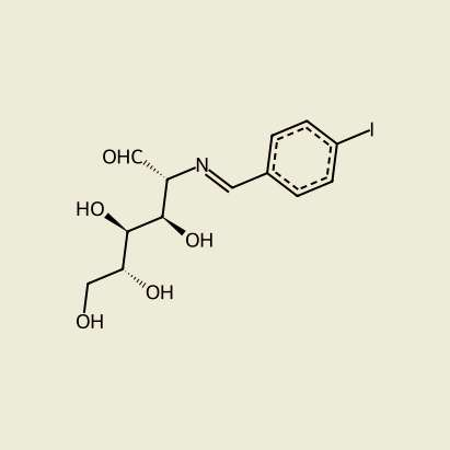 O=C[C@H](N=Cc1ccc(I)cc1)[C@@H](O)[C@H](O)[C@H](O)CO